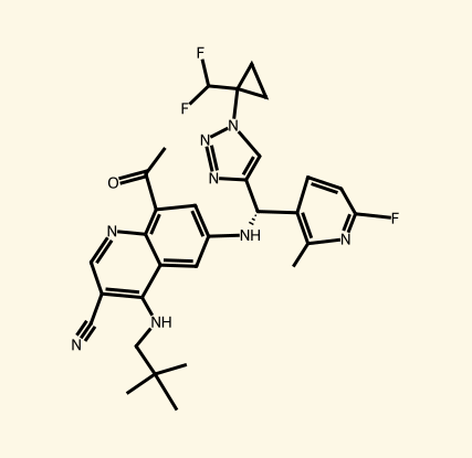 CC(=O)c1cc(N[C@H](c2cn(C3(C(F)F)CC3)nn2)c2ccc(F)nc2C)cc2c(NCC(C)(C)C)c(C#N)cnc12